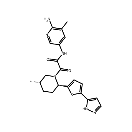 Cc1cc(NC(=O)C(=O)N2C[C@@H](C)CC[C@@H]2c2ccc(-c3ccn[nH]3)s2)cnc1N